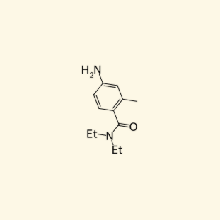 CCN(CC)C(=O)c1ccc(N)cc1C